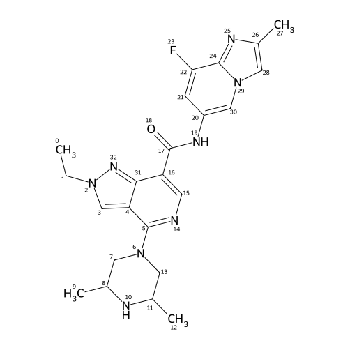 CCn1cc2c(N3CC(C)NC(C)C3)ncc(C(=O)Nc3cc(F)c4nc(C)cn4c3)c2n1